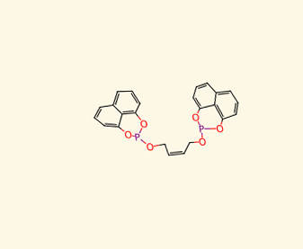 C(=C/COP1Oc2cccc3cccc(c23)O1)/COP1Oc2cccc3cccc(c23)O1